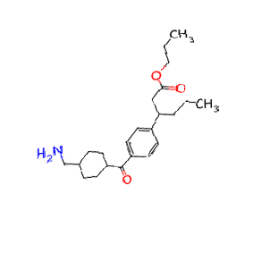 CCCOC(=O)CC(CCC)c1ccc(C(=O)C2CCC(CN)CC2)cc1